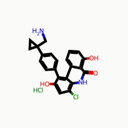 Cl.NCC1(c2ccc(-c3c(O)cc(Cl)c4[nH]c(=O)c5c(O)cccc5c34)cc2)CC1